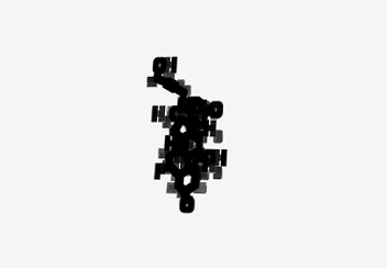 CC(C)C(=O)O[C@]1(C(=O)SCC#CCO)[C@H](C)C[C@H]2[C@@H]3C[C@H](F)C4=CC(=O)C=C[C@]4(C)[C@@]3(F)[C@@H](O)C[C@@]21C